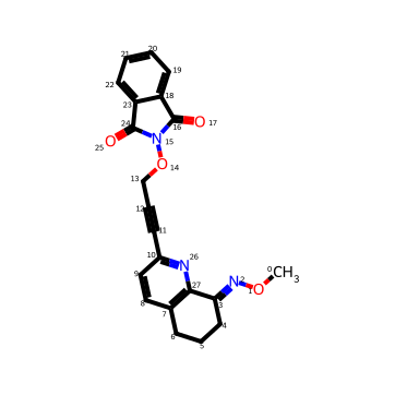 CON=C1CCCc2ccc(C#CCON3C(=O)c4ccccc4C3=O)nc21